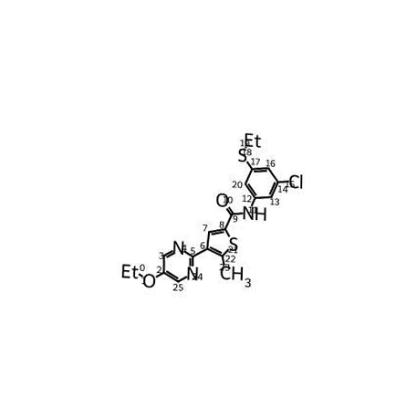 CCOc1cnc(-c2cc(C(=O)Nc3cc(Cl)cc(SCC)c3)sc2C)nc1